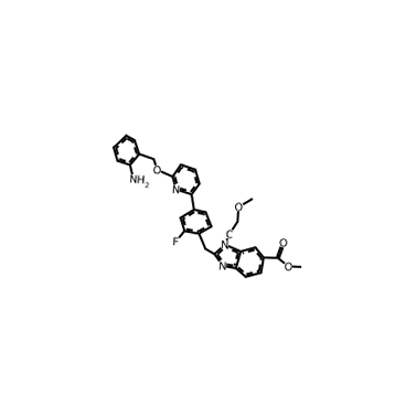 COCCn1c(Cc2ccc(-c3cccc(OCc4ccccc4N)n3)cc2F)nc2ccc(C(=O)OC)cc21